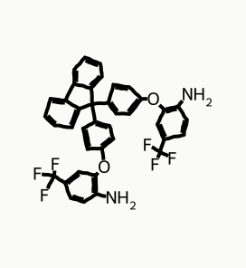 Nc1ccc(C(F)(F)F)cc1Oc1ccc(C2(c3ccc(Oc4cc(C(F)(F)F)ccc4N)cc3)c3ccccc3-c3ccccc32)cc1